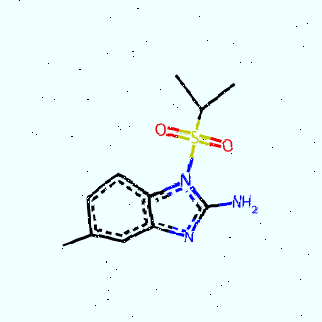 Cc1ccc2c(c1)nc(N)n2S(=O)(=O)C(C)C